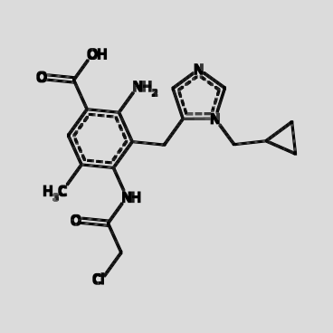 Cc1cc(C(=O)O)c(N)c(Cc2cncn2CC2CC2)c1NC(=O)CCl